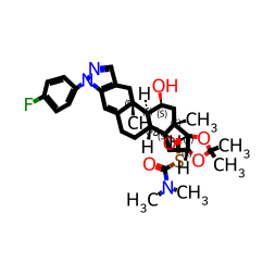 CN(C)C(=O)SC(=O)[C@@]12OC(C)(C)O[C@@H]1C[C@H]1[C@@H]3CCC4=Cc5c(cnn5-c5ccc(F)cc5)C[C@]4(C)[C@H]3[C@@H](O)C[C@@]12C